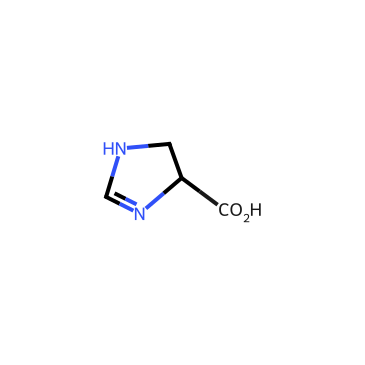 O=C(O)C1CNC=N1